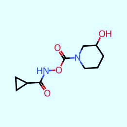 O=C(NOC(=O)N1CCCC(O)C1)C1CC1